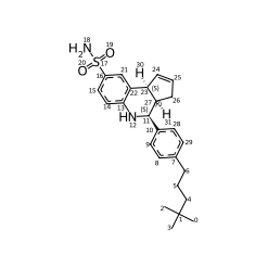 CC(C)(C)CCCc1ccc([C@H]2Nc3ccc(S(N)(=O)=O)cc3[C@H]3C=CC[C@H]32)cc1